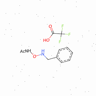 CC(=O)NONCc1ccccc1.O=C(O)C(F)(F)F